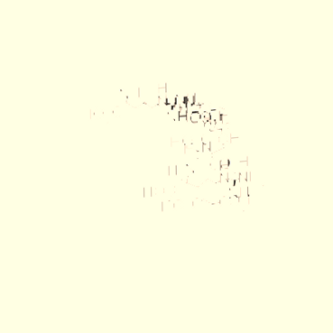 CC(=O)O.CC(=O)O.C[C@@H](O)[C@H](N)C(=O)O.C[C@H](N)C(=O)O.C[C@H](N)C(=O)O.N=C(N)NCCC[C@H](N)C(=O)O.N=C(N)NCCC[C@H](N)C(=O)O.O=C(O)CCC(=O)O